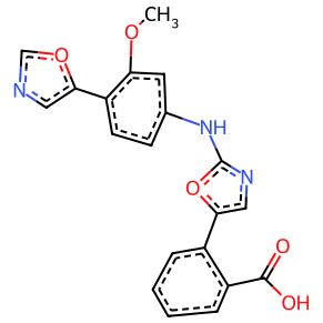 COc1cc(Nc2ncc(-c3ccccc3C(=O)O)o2)ccc1-c1cnco1